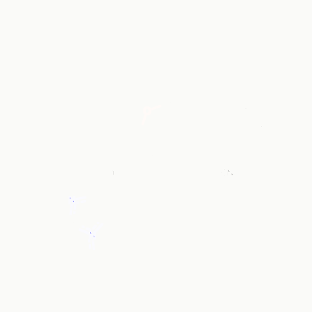 CC(C)c1nc2ccccn2c1Cc1ccc2c(c1)COc1cc(F)ccc1C2=C(C#N)C1CC1